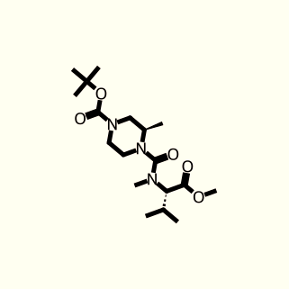 COC(=O)[C@H](C(C)C)N(C)C(=O)N1CCN(C(=O)OC(C)(C)C)C[C@H]1C